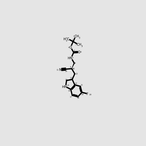 CC(C)(C)OC(=O)NC[C@H](C#N)CC1CNc2ccc(F)cc21